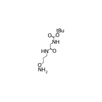 CC(C)(C)OC(=O)NCC(=O)NCCCON